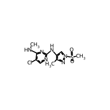 CNc1nc(Nc2cn(S(C)(=O)=O)nc2C)ncc1Cl